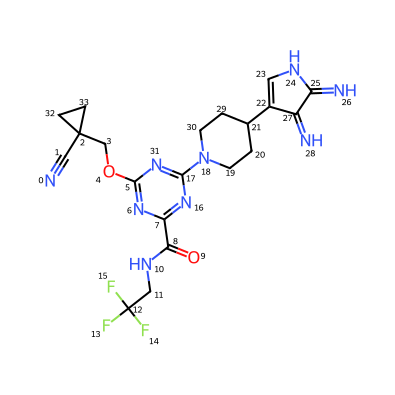 N#CC1(COc2nc(C(=O)NCC(F)(F)F)nc(N3CCC(C4=CNC(=N)C4=N)CC3)n2)CC1